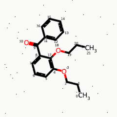 CCCOc1cccc(C(=O)c2ccccc2)c1OCCC